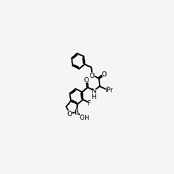 CC(C)C(NC(=O)c1ccc2c(c1F)B(O)OC2)C(=O)OCc1ccccc1